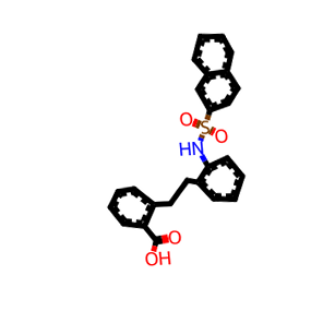 O=C(O)c1ccccc1CCc1ccccc1NS(=O)(=O)c1ccc2ccccc2c1